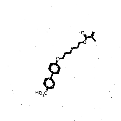 C=C(C)C(=O)OCCCCCCOc1ccc(-c2ccc(C(=O)O)cc2)cc1